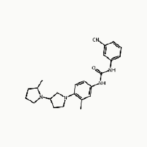 [C-]#[N+]c1cccc(NC(=O)Nc2ccc(N3CCC(N4CCCC4C)C3)c(C)c2)c1